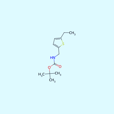 CCc1ccc(CNC(=O)OC(C)(C)C)s1